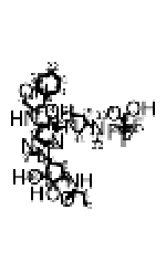 CCC(=O)N[C@H]1C[C@@H](n2cnc3c(NC(CO)C(O)c4ccccc4)nc(N4CC[C@@H](N(C)C)C4)nc32)[C@H](O)[C@@H]1O.O=C(O)C(F)(F)F